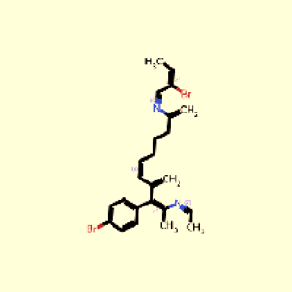 C=C(CCC/C=C\C(=C)/C(=C(C)\N=C/C)c1ccc(Br)cc1)/N=C\C(Br)=C/C